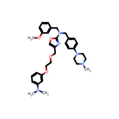 COc1cccc(CN(Cc2ccc(N3CCN(C)CC3)cc2)c2nc(COCCOc3cccc(N(C)C)c3)co2)c1